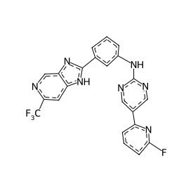 Fc1cccc(-c2cnc(Nc3cccc(-c4nc5cnc(C(F)(F)F)cc5[nH]4)c3)nc2)n1